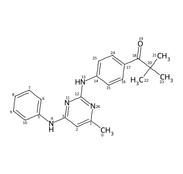 Cc1cc(Nc2ccccc2)nc(Nc2ccc(C(=O)C(C)(C)C)cc2)n1